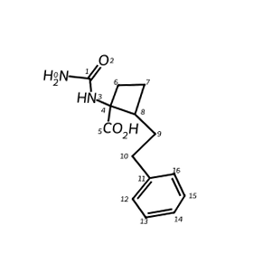 NC(=O)NC1(C(=O)O)CCC1CCc1ccccc1